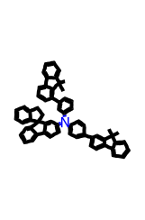 CC1(C)c2ccccc2-c2ccc(-c3ccc(N(c4cccc(-c5cccc6c5C(C)(C)c5ccccc5-6)c4)c4ccc5c(c4)C4(CCc6ccccc64)c4ccccc4-5)cc3)cc21